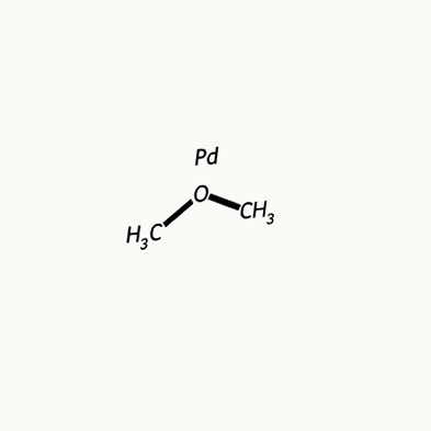 COC.[Pd]